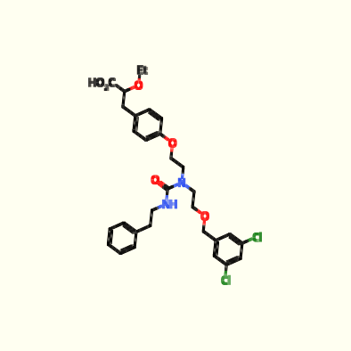 CCOC(Cc1ccc(OCCN(CCOCc2cc(Cl)cc(Cl)c2)C(=O)NCCc2ccccc2)cc1)C(=O)O